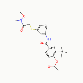 CON(C)C(=O)CSc1cccc(NC(=O)c2ccc(OC(C)=O)c(C(C)(C)C)c2)c1